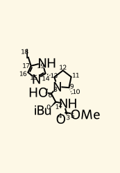 CC[C@H](C)C(NC(=O)OC)C(O)N1[C@@H](C)CC[C@H]1c1ncc(I)[nH]1